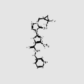 Cc1nc(-n2cnn(CC3CC3(F)F)c2=O)sc1C(=O)NCc1cccnc1